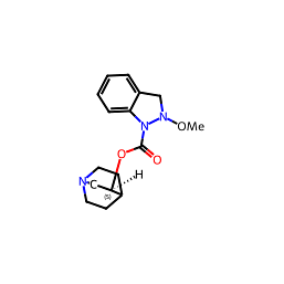 CON1Cc2ccccc2N1C(=O)O[C@@H]1CN2CCC1CC2